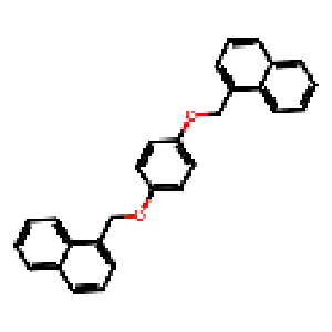 c1ccc2c(COc3ccc(OCc4cccc5ccccc45)cc3)cccc2c1